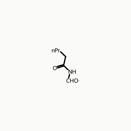 CCCCC(=O)N[C]=O